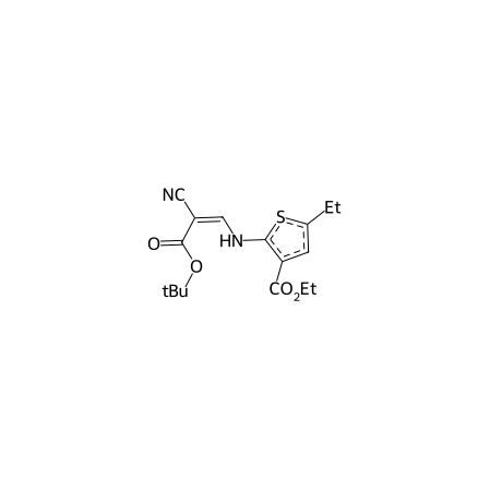 CCOC(=O)c1cc(CC)sc1NC=C(C#N)C(=O)OC(C)(C)C